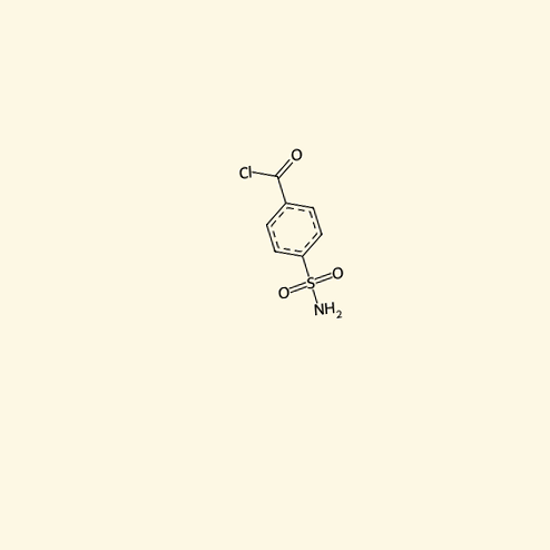 NS(=O)(=O)c1ccc(C(=O)Cl)cc1